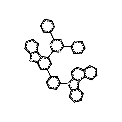 c1ccc(-c2nc(-c3ccccc3)nc(-c3cc(-c4cccc(-n5c6ccccc6c6c7ccccc7ccc65)c4)cc4oc5ccccc5c34)n2)cc1